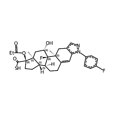 CCC(=O)O[C@]1(C(=O)S)CC[C@H]2[C@@H]3CCC4=Cc5c(cnn5-c5ccc(F)cc5)C[C@]4(C)[C@@]3(F)[C@@H](O)C[C@@]21C